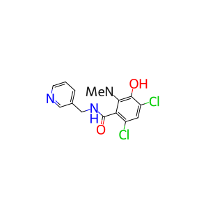 CNc1c(O)c(Cl)cc(Cl)c1C(=O)NCc1cccnc1